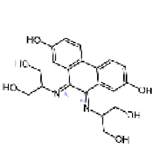 OCC(CO)/N=C1/C(=N/C(CO)CO)c2cc(O)ccc2-c2ccc(O)cc21